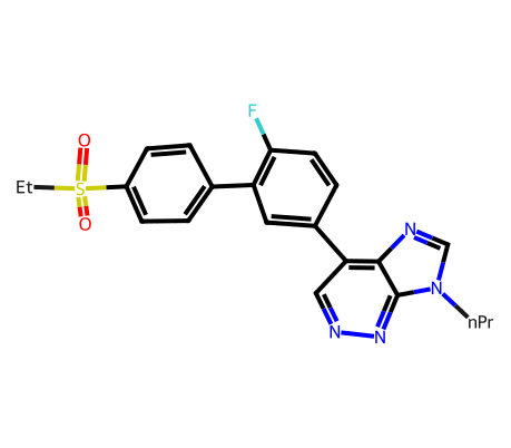 CCCn1cnc2c(-c3ccc(F)c(-c4ccc(S(=O)(=O)CC)cc4)c3)cnnc21